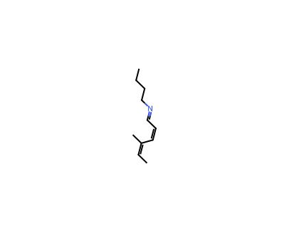 C\C=C(C)/C=C\C=N\CCCC